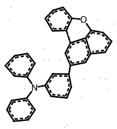 c1ccc(N(c2ccccc2)c2cccc(-c3cc4c5c(cccc5c3)Oc3ccccc3-4)c2)cc1